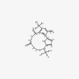 Nc1cc(C(F)(F)F)c2nc1-c1nnc(o1)C(C(F)(F)F)CCCC(=O)CCC2=O